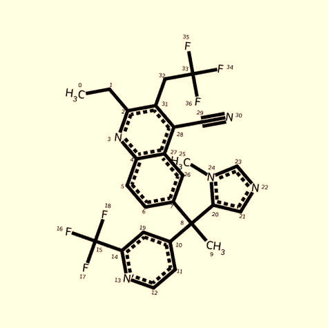 CCc1nc2ccc(C(C)(c3ccnc(C(F)(F)F)c3)c3cncn3C)cc2c(C#N)c1CC(F)(F)F